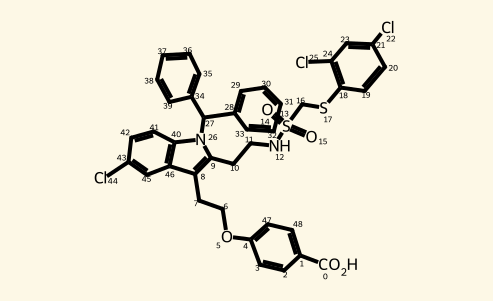 O=C(O)c1ccc(OCCc2c(CCNS(=O)(=O)CSc3ccc(Cl)cc3Cl)n(C(c3ccccc3)c3ccccc3)c3ccc(Cl)cc23)cc1